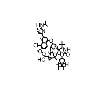 CCC1C[C@]1(NC(=O)[C@@H]1CC(Oc2cc(-c3csc(NC(C)C)n3)nc3c(Cl)c(OC)ccc23)CN1C(=O)[C@@H](NC(=O)OC1C[C@@H]2[C@H](C1)C2(F)F)C(C)(C)C)C(=O)O